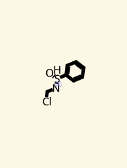 O=[SH](=N\CCl)/c1ccccc1